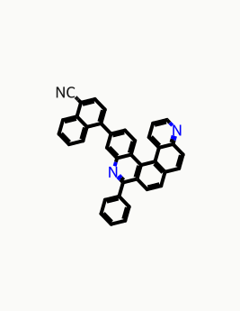 N#Cc1ccc(-c2ccc3c(c2)nc(-c2ccccc2)c2ccc4ccc5ncccc5c4c23)c2ccccc12